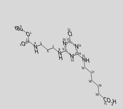 CC(C)(C)OC(=O)NCCCNc1nc(Cl)nc(NCCCCCC(=O)O)n1